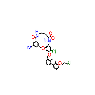 COC(=O)[C@@H]1CCCCNC(=O)c2cc(C#N)cc(c2)COc2cc(OCc3cccc(-c4cccc(OCCCCl)c4C)c3C)c(Cl)cc2CN1